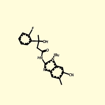 Cc1cc2nc(NC(=O)CC(C)(O)c3ccccc3F)n(C(C)(C)C)c2cc1C#N